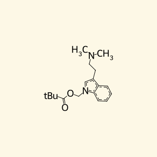 CN(C)CCc1cn(COC(=O)C(C)(C)C)c2ccccc12